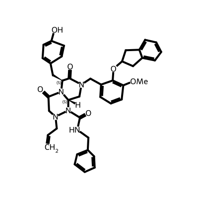 C=CCN1CC(=O)N2[C@@H](Cc3ccc(O)cc3)C(=O)N(Cc3cccc(OC)c3OC3Cc4ccccc4C3)C[C@@H]2N1C(=O)NCc1ccccc1